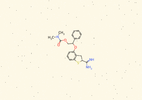 CN(C)C(=O)OCC(Oc1cccc2c1CC(C(=N)N)S2)c1ccccc1